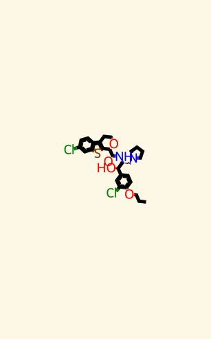 CCCOc1ccc([C@@H](O)[C@@H](CN2CCCC2)NC(=O)C2OCCc3c2sc2cc(Cl)ccc32)cc1Cl